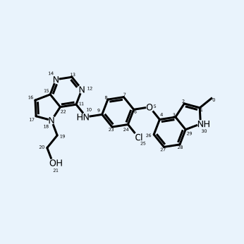 Cc1cc2c(Oc3ccc(Nc4ncnc5ccn(CCO)c45)cc3Cl)cccc2[nH]1